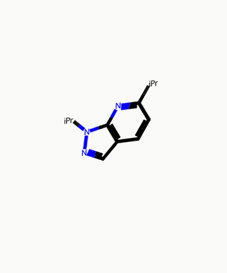 CC(C)c1ccc2cnn(C(C)C)c2n1